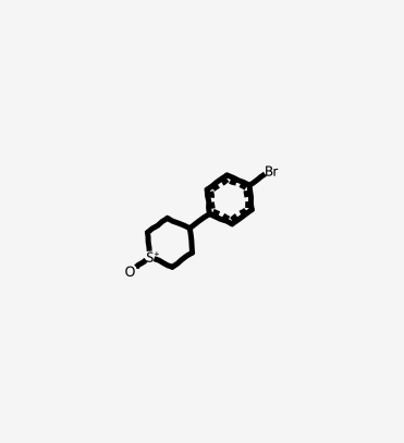 [O-][S+]1CCC(c2ccc(Br)cc2)CC1